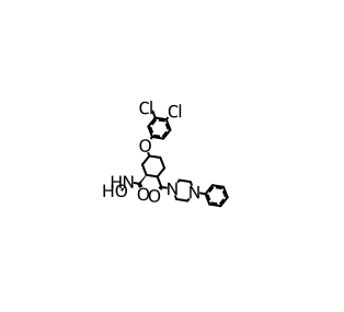 O=C(NO)[C@H]1CC(Oc2ccc(Cl)c(Cl)c2)CCC1C(=O)N1CCN(c2ccccc2)CC1